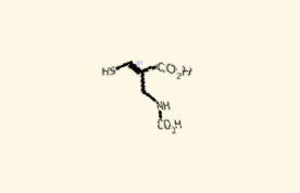 O=C(O)NC/C(=C\S)C(=O)O